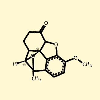 COc1ccc2c3c1OC1C(=O)CCC4[C@@H](C2)N(C)C[C@]314